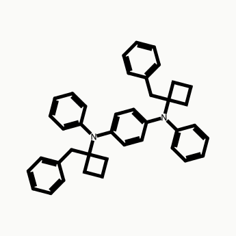 c1ccc(CC2(N(c3ccccc3)c3ccc(N(c4ccccc4)C4(Cc5ccccc5)CCC4)cc3)CCC2)cc1